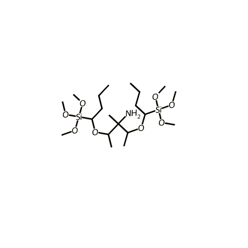 CCCC(OC(C)C(C)(N)C(C)OC(CCC)[Si](OC)(OC)OC)[Si](OC)(OC)OC